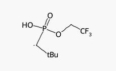 CC(C)(C)[CH]P(=O)(O)OCC(F)(F)F